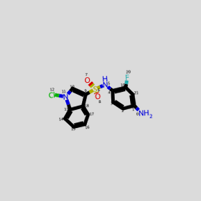 Nc1ccc(NS(=O)(=O)c2cn(Cl)c3ccccc23)c(F)c1